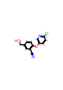 N#Cc1cc(CO)ccc1Oc1ccc(Cl)nc1